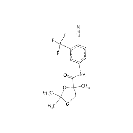 CC1(C)OCC(C)(C(=O)Nc2ccc(C#N)c(C(F)(F)F)c2)O1